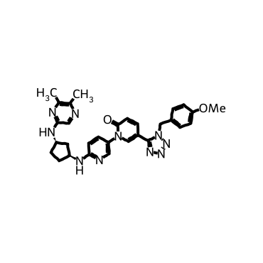 COc1ccc(Cn2nnnc2-c2ccc(=O)n(-c3ccc(N[C@H]4CC[C@H](Nc5cnc(C)c(C)n5)C4)nc3)c2)cc1